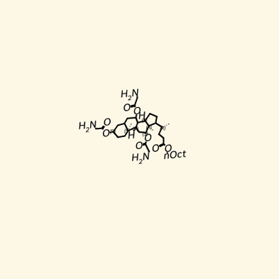 CCCCCCCCOC(=O)CC[C@@H](C)C1CC[C@H]2C3C(OC(=O)CN)CC4C[C@H](OC(=O)CN)CC[C@]4(C)[C@H]3C[C@H](OC(=O)CN)[C@]12C